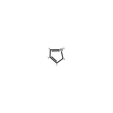 C1=C[CH2][Al]=[CH]1